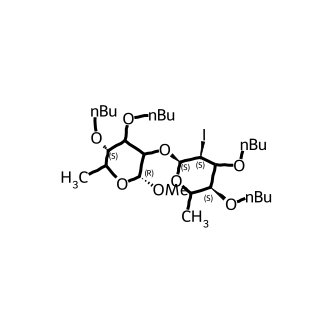 CCCCOC1C(O[C@@H]2OC(C)[C@H](OCCCC)C(OCCCC)[C@@H]2I)[C@H](OC)OC(C)[C@@H]1OCCCC